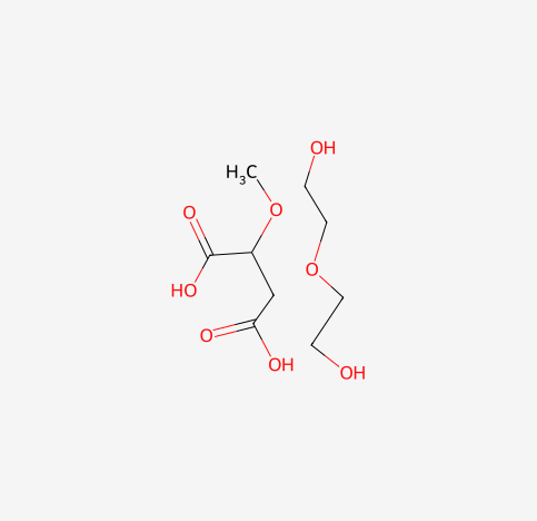 COC(CC(=O)O)C(=O)O.OCCOCCO